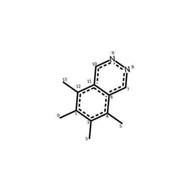 Cc1c(C)c(C)c2cnncc2c1C